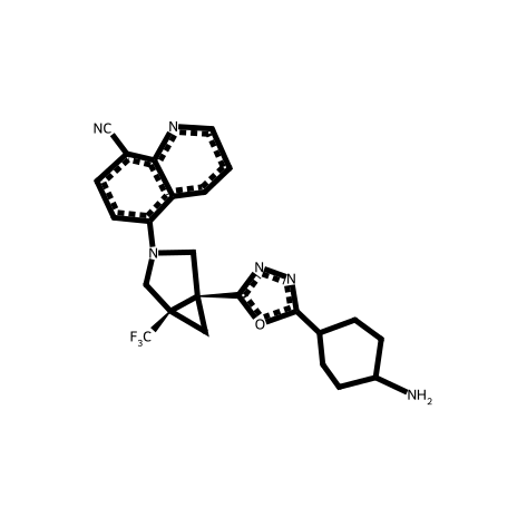 N#Cc1ccc(N2C[C@]3(c4nnc(C5CCC(N)CC5)o4)C[C@]3(C(F)(F)F)C2)c2cccnc12